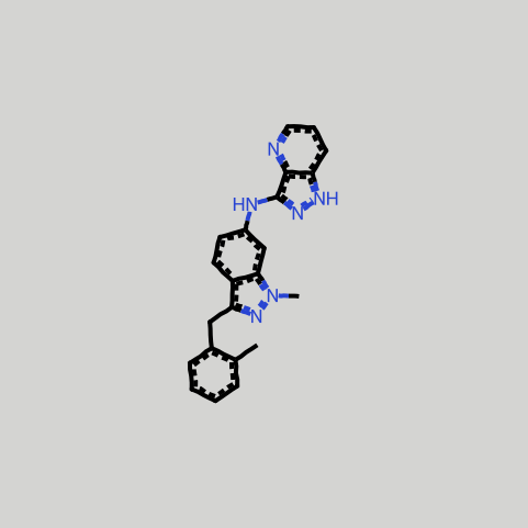 Cc1ccccc1Cc1nn(C)c2cc(Nc3n[nH]c4cccnc34)ccc12